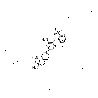 CC1(F)CCC2(CCN(c3cnc(Sc4cccnc4C(F)(F)F)c(N)n3)CC2)[C@H]1N